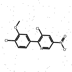 COc1cc(-c2ncc([N+](=O)[O-])cc2Cl)ccc1Cl